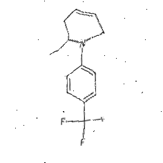 CC1CC=CCN1c1[c]cc(C(F)(F)F)cc1